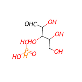 O=CC(O)C(O)C(O)CO.O=[PH](O)O